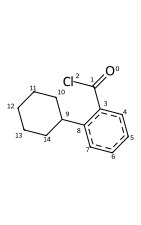 O=C(Cl)c1ccccc1C1CCCCC1